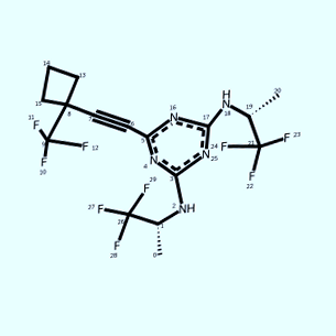 C[C@@H](Nc1nc(C#CC2(C(F)(F)F)CCC2)nc(N[C@H](C)C(F)(F)F)n1)C(F)(F)F